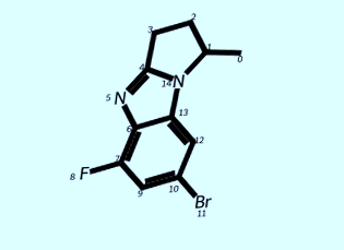 CC1CCc2nc3c(F)cc(Br)cc3n21